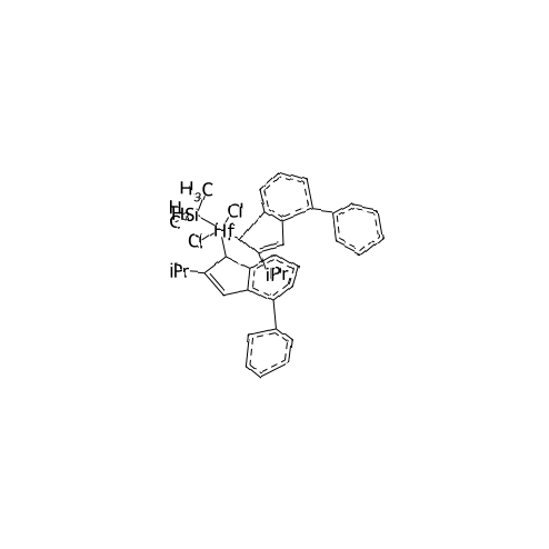 CC(C)C1=Cc2c(-c3ccccc3)cccc2[CH]1[Hf]([Cl])([Cl])([CH]1C(C(C)C)=Cc2c(-c3ccccc3)cccc21)[SiH](C)C